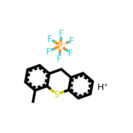 Cc1cccc2c1Sc1ccccc1C2.F[P-](F)(F)(F)(F)F.[H+]